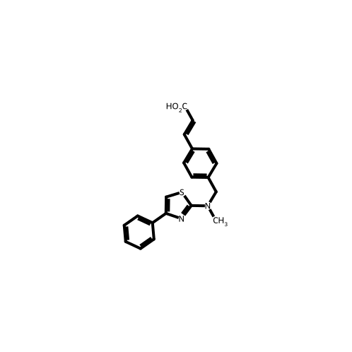 CN(Cc1ccc(C=CC(=O)O)cc1)c1nc(-c2ccccc2)cs1